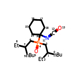 CCCCC(CC)CP(=O)(CC(CC)CCCC)C1(N=C=O)CC[CH]CC1